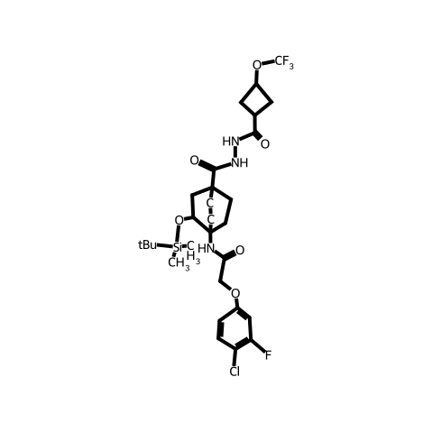 CC(C)(C)[Si](C)(C)OC1CC2(C(=O)NNC(=O)C3CC(OC(F)(F)F)C3)CCC1(NC(=O)COc1ccc(Cl)c(F)c1)CC2